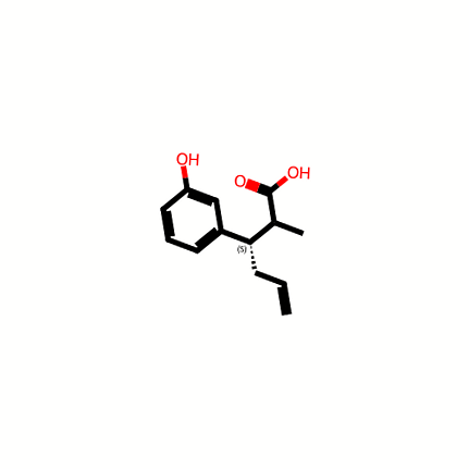 C=CC[C@H](c1cccc(O)c1)C(C)C(=O)O